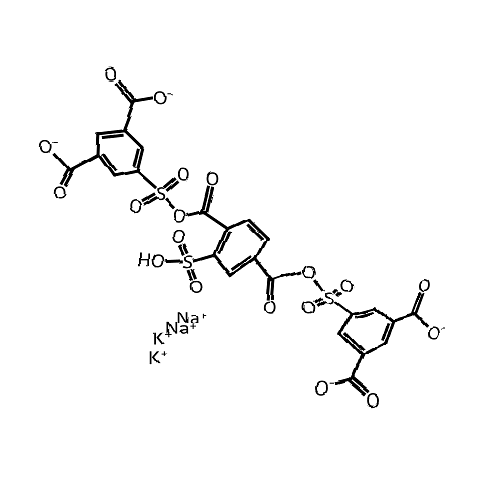 O=C([O-])c1cc(C(=O)[O-])cc(S(=O)(=O)OC(=O)c2ccc(C(=O)OS(=O)(=O)c3cc(C(=O)[O-])cc(C(=O)[O-])c3)c(S(=O)(=O)O)c2)c1.[K+].[K+].[Na+].[Na+]